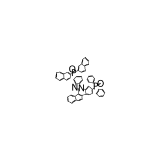 O=P(c1ccc2ccccc2c1)(c1ccc2ccccc2c1)c1ccc2c(c1)nc1c3c4ccccc4ccc3c3ccc(P(=O)(c4ccccc4)c4ccccc4)cc3n21